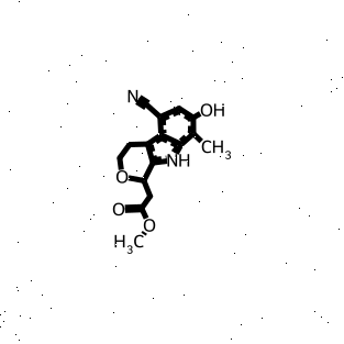 COC(=O)CC1OCCc2c1[nH]c1c(C)c(O)cc(C#N)c21